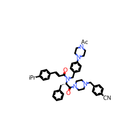 CC(=O)N1CCN(c2ccc(CN(C(=O)/C=C/c3ccc(C(C)C)cc3)[C@@H](Cc3ccccc3)C(=O)N3CCN(Cc4ccc(C#N)cc4)CC3)cc2)CC1